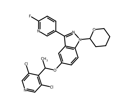 CC(Oc1ccc2c(c1)c(-c1ccc(F)nc1)nn2C1CCCCO1)c1c(Cl)cncc1Cl